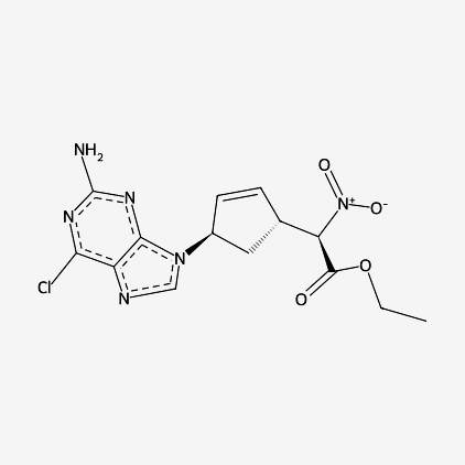 CCOC(=O)[C@@H]([C@H]1C=C[C@H](n2cnc3c(Cl)nc(N)nc32)C1)[N+](=O)[O-]